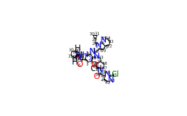 COc1cc(C(=O)N2C[C@H]3CC[C@@H]2[C@@H]3N)cc2nc(-c3cc4cccnc4n3CC3CC3)n(CC3CCN(C(=O)c4ccnc(Cl)n4)CC3)c12